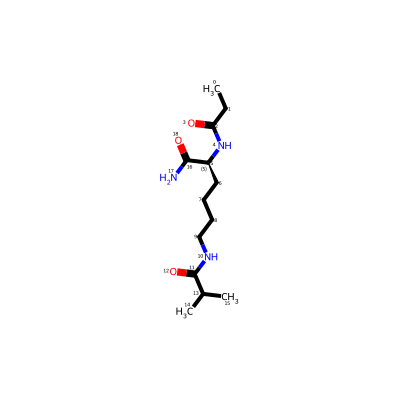 CCC(=O)N[C@@H](CCCCNC(=O)C(C)C)C(N)=O